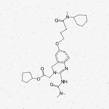 CN(C)C(=O)NC1=Nc2ccc(OCCCC(=O)N(C)C3CCCCC3)cc2CN1CC(=O)OC1CCCC1